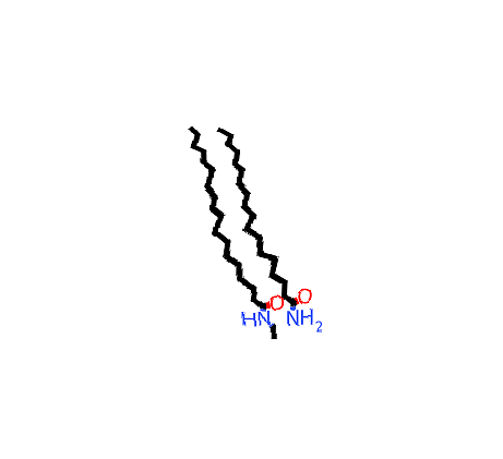 CCCCCCCCCCCCCCCCCC(=O)NCC.CCCCCCCCCCCCCCCCCC(N)=O